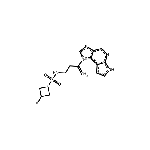 C=C(CCNS(=O)(=O)N1CC(F)C1)n1cnc2cnc3[nH]ccc3c21